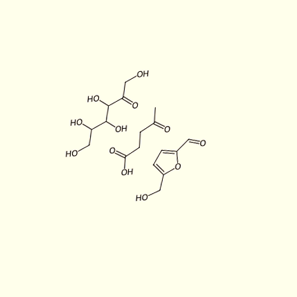 CC(=O)CCC(=O)O.O=C(CO)C(O)C(O)C(O)CO.O=Cc1ccc(CO)o1